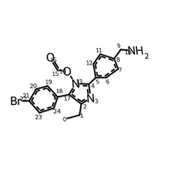 CCc1nc(-c2ccc(CN)cc2)n(OC=O)c1-c1ccc(Br)cc1